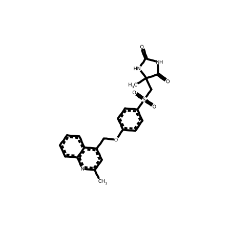 Cc1cc(COc2ccc(S(=O)(=O)CC3(C)NC(=O)NC3=O)cc2)c2ccccc2n1